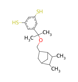 CC1C2CC(COC(C)(C)c3cc(S)cc(S)c3)C(C2)C1C